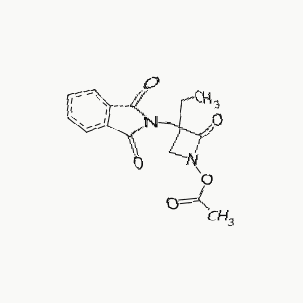 CCC1(N2C(=O)c3ccccc3C2=O)CN(OC(C)=O)C1=O